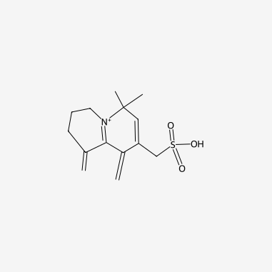 C=C1CCC[N+]2=C1C(=C)C(CS(=O)(=O)O)=CC2(C)C